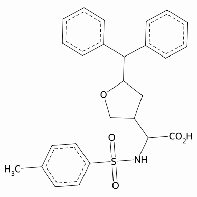 Cc1ccc(S(=O)(=O)NC(C(=O)O)C2COC(C(c3ccccc3)c3ccccc3)C2)cc1